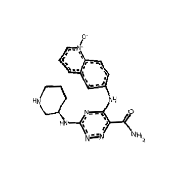 NC(=O)c1nnc(N[C@@H]2CCCNC2)nc1Nc1ccc2c(ccc[n+]2[O-])c1